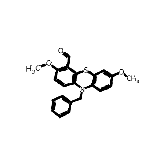 COc1ccc2c(c1)Sc1c(ccc(OC)c1C=O)N2Cc1ccccc1